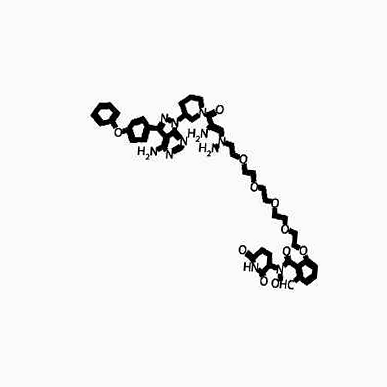 CN(C(=O)c1c(C=O)cccc1OCCOCCOCCOCCOCCN(N)/C=C(\N)C(=O)N1CCCC(n2nc(-c3ccc(Oc4ccccc4)cc3)c3c(N)ncnc32)C1)C1CCC(=O)NC1=O